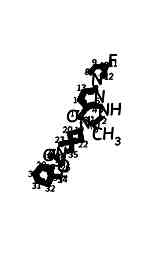 C[C@@H]1CNc2nc(N3CC[C@H](F)C3)ccc2C(=O)N1C1CC2(C1)CN(S(=O)(=O)c1ccccc1F)C2